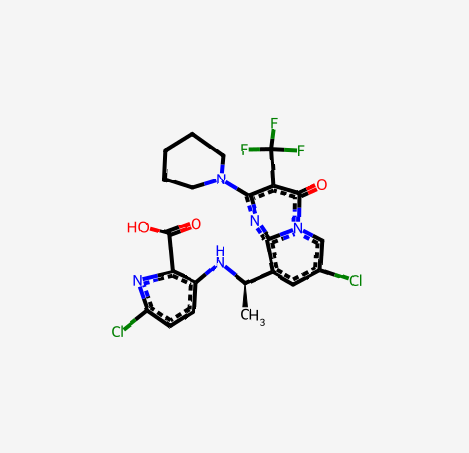 C[C@@H](Nc1ccc(Cl)nc1C(=O)O)c1cc(Cl)cn2c(=O)c(C(F)(F)F)c(N3CCCCC3)nc12